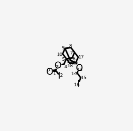 O=C(I)OCC12CC3CC(C1)CC(OCCI)(C3)C2